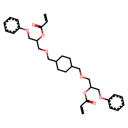 C=CC(=O)OC(COCC1CCC(COCC(COc2ccccc2)OC(=O)C=C)CC1)COc1ccccc1